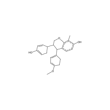 COC1=CC=C(C2c3ccc(O)c(C)c3OCC2C2C=CC(O)=CC2)CC1